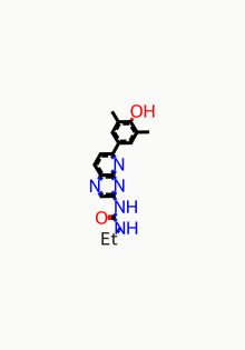 CCNC(=O)Nc1cnc2ccc(-c3cc(C)c(O)c(C)c3)nc2n1